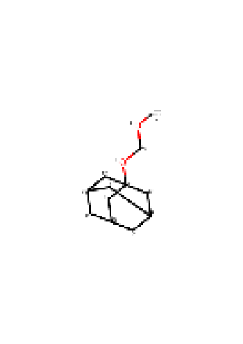 CCOCOC12CC3CC(CC(C3)C1)C2